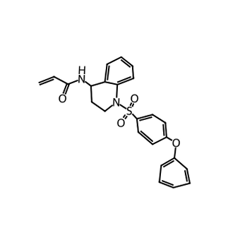 C=CC(=O)NC1CCN(S(=O)(=O)c2ccc(Oc3ccccc3)cc2)c2ccccc21